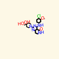 COc1cc(Nc2nc(N3CCC(O)(CO)CC3)nc3cc[nH]c(=O)c23)ccc1Cl